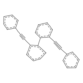 C(#Cc1ccccc1-c1ccccc1C#Cc1ccccc1)c1ccccc1